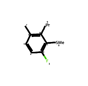 CSc1c(F)ccc(C)c1C(C)C